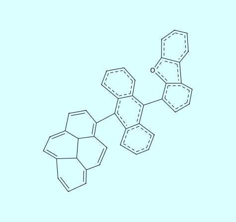 C1=CC2=CC=C3C=CC(c4c5ccccc5c(-c5cccc6c5oc5ccccc56)c5ccccc45)=C4C=CC(=C1)C2C34